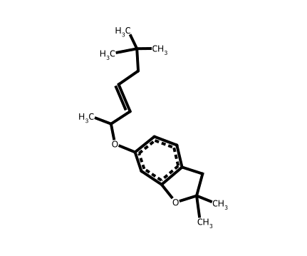 CC(C=CCC(C)(C)C)Oc1ccc2c(c1)OC(C)(C)C2